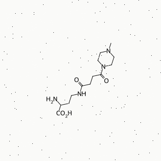 CN1CCN(C(=O)CCC(=O)NCCC(N)C(=O)O)CC1